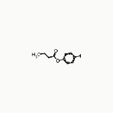 CCCC(=O)Oc1ccc(I)cc1